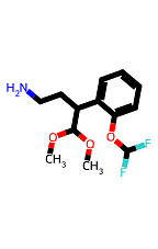 COC(OC)C(CCN)c1ccccc1OC(F)F